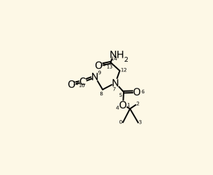 CC(C)(C)OC(=O)N(CN=C=O)CC(N)=O